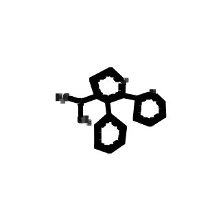 CN(C)c1cc[s+]c(-c2ccccn2)c1-c1ccccc1